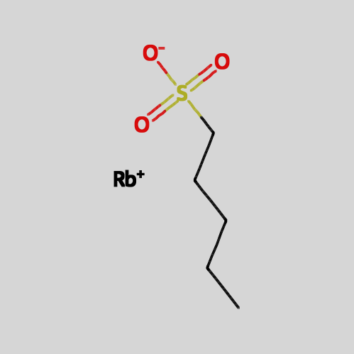 CCCCCS(=O)(=O)[O-].[Rb+]